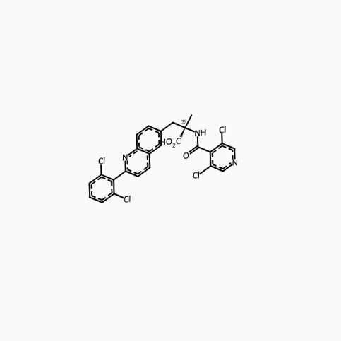 C[C@@](Cc1ccc2nc(-c3c(Cl)cccc3Cl)ccc2c1)(NC(=O)c1c(Cl)cncc1Cl)C(=O)O